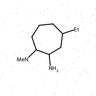 CCC1CCCC(NC)C(N)C1